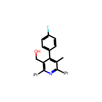 Cc1c(C(C)C)nc(C(C)C)c(CO)c1-c1ccc(F)cc1